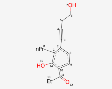 CCCc1c(C#CCCO)ccc(C(=O)CC)c1O